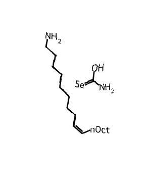 CCCCCCCC/C=C\CCCCCCCCN.NC(O)=[Se]